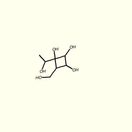 CC(O)C1(O)C(O)C(O)C1CO